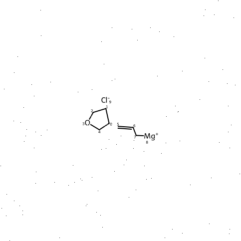 C1CCOC1.C=C[CH2][Mg+].[Cl-]